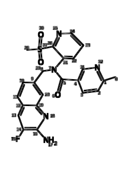 Cc1ccc(C(=O)N(Cc2ccc3cc(F)c(N)nc3c2)c2cccnc2S(C)(=O)=O)cn1